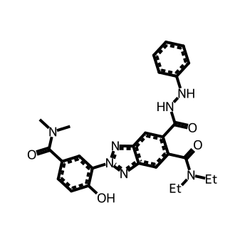 CCN(CC)C(=O)c1cc2nn(-c3cc(C(=O)N(C)C)ccc3O)nc2cc1C(=O)NNc1ccccc1